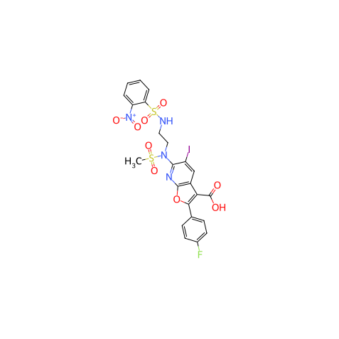 CS(=O)(=O)N(CCNS(=O)(=O)c1ccccc1[N+](=O)[O-])c1nc2oc(-c3ccc(F)cc3)c(C(=O)O)c2cc1I